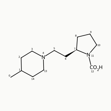 CC1CCN(CC[C@H]2CCCN2C(=O)O)CC1